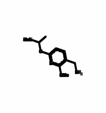 CNC(C)Oc1ccc(CN)c(OC)n1